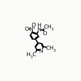 CC(=O)Nc1cc(-c2cc(C)nc(C)c2)ccc1[N+](=O)[O-]